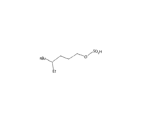 CCCCC(CC)CCCOS(=O)(=O)O